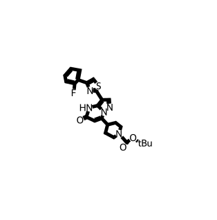 CC(C)(C)OC(=O)N1CCC(c2cc(=O)[nH]c3c(-c4nc(-c5ccccc5F)cs4)cnn23)CC1